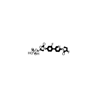 O=C1O[C@@H](COP(=O)(O)O)CN1c1ccc(-c2ccc(N3CCC(F)C3=O)nc2)c(F)c1